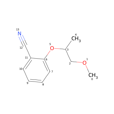 COCC(C)Oc1ccccc1C#N